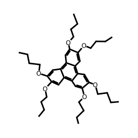 CCCCOc1cc2c3cc(OCCCC)c(OCCCC)cc3c3cc(OCCCC)c(OCCCC)cc3c2cc1OCCCC